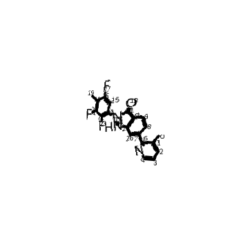 Cc1cccnc1-c1ccc2c(=O)n(-c3cc(F)c(C)c(F)c3F)[nH]c2c1